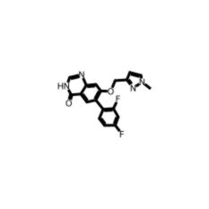 Cn1ccc(COc2cc3nc[nH]c(=O)c3cc2-c2ccc(F)cc2F)n1